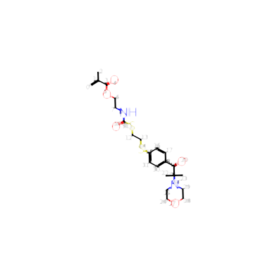 C=C(C)C(=O)OCCNC(=O)SCCSc1ccc(C(=O)C(C)(C)N2CCOCC2)cc1